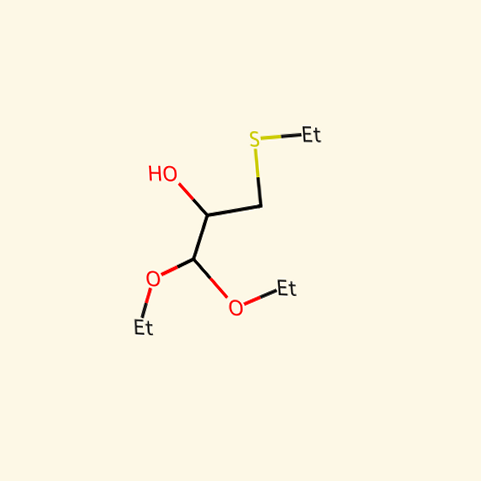 CCOC(OCC)C(O)CSCC